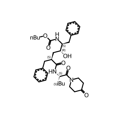 CCCCOC(=O)N[C@@H](Cc1ccccc1)[C@H](O)C[C@H](Cc1ccccc1)C(=O)N[C@H](C(=O)N1CCC(=O)CC1)[C@@H](C)CC